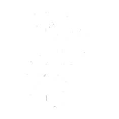 CC(C)C(C)(CC=O)c1ccccc1.CC(CC=O)c1ccccc1.[c]1ccccc1.c1ccc2c(c1)ccc1occc12